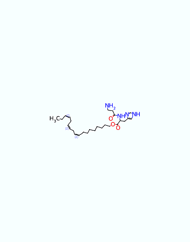 CC/C=C\C/C=C\C/C=C\CCCCCCCCOC(=O)C(Cc1c[nH]cn1)NC(=O)CCN